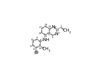 C=Cc1ncc2c(Nc3cccc(Br)c3C)cccc2n1